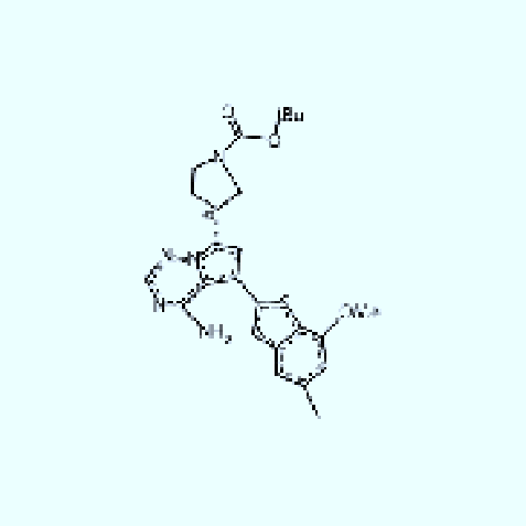 COc1cc(C)cc2cc(-c3cc([C@@H]4CCN(C(=O)OC(C)(C)C)C4)n4ncnc(N)c34)sc12